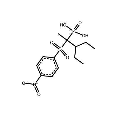 CCC(CC)C(C)(P(=O)(O)O)S(=O)(=O)c1ccc([N+](=O)[O-])cc1